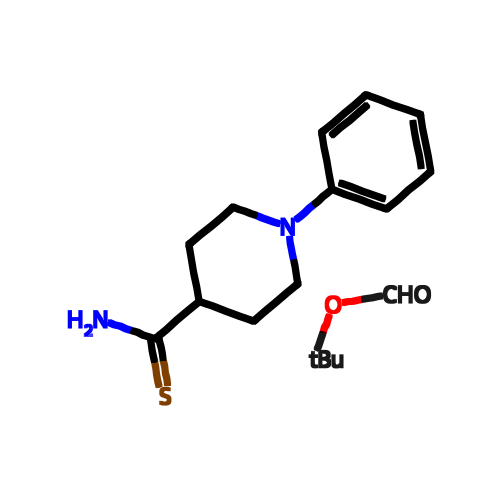 CC(C)(C)OC=O.NC(=S)C1CCN(c2ccccc2)CC1